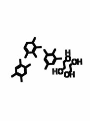 CC1=CCC(C)C(C)=C1C.Cc1cc(C)c(C)c(C)c1.Cc1cc(C)c(C)cc1C.OCCO.OCCO